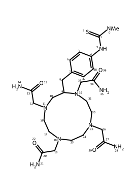 CNC(=S)Nc1ccc(CC2CN(CC(N)=O)CCN(CC(N)=O)CCN(CC(N)=O)CCN2CC(N)=O)cc1